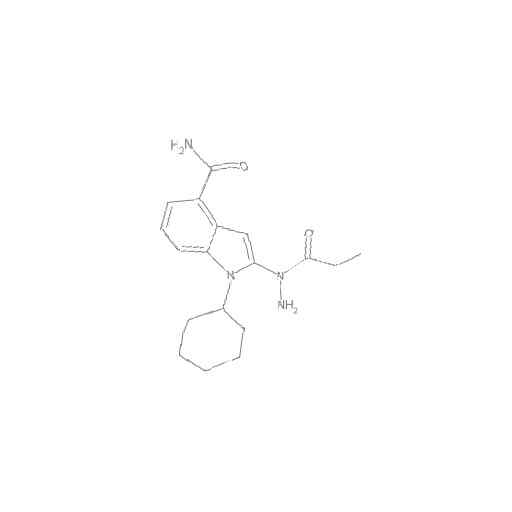 CCC(=O)N(N)c1cc2c(C(N)=O)cccc2n1C1CCCCC1